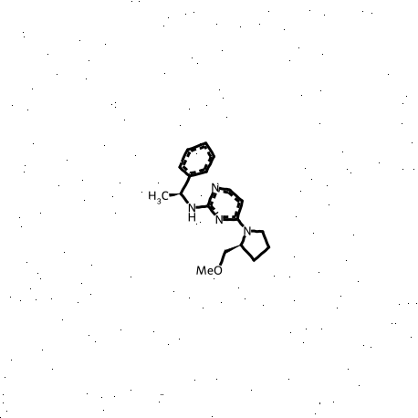 COC[C@@H]1CCCN1c1ccnc(N[C@@H](C)c2ccccc2)n1